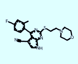 Cc1cc(F)ccc1-c1nc(SCCN2CCOCC2)nc2[nH]cc(C#N)c12